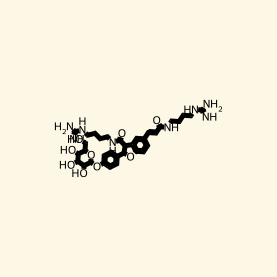 N=C(N)NCCCCNC(=O)C=Cc1ccc2c(c1)C(C(=O)NCCCCNC(=N)N)C(c1ccc(OC3OC(CO)C(O)C(O)C3O)cc1)O2